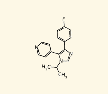 CC(C)n1cnc(-c2ccc(F)cc2)c1-c1ccncc1